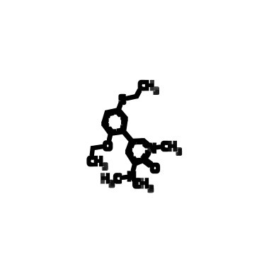 CCOc1ccc(SCC)cc1-c1cc(N(C)C)c(=O)n(C)c1